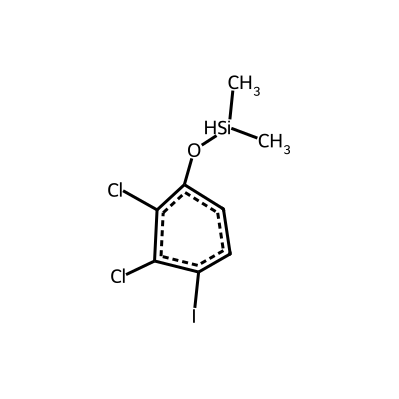 C[SiH](C)Oc1ccc(I)c(Cl)c1Cl